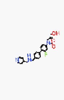 O=C1O[C@@H](CO)CN1c1ccc(-c2ccc(CNCc3ccncc3)cc2)c(F)c1